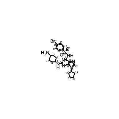 N[C@H]1CC[C@H](Nc2nc(NS(=O)(=O)c3ccc(Br)cc3)c3ncn(C4CCCC4)c3n2)CC1